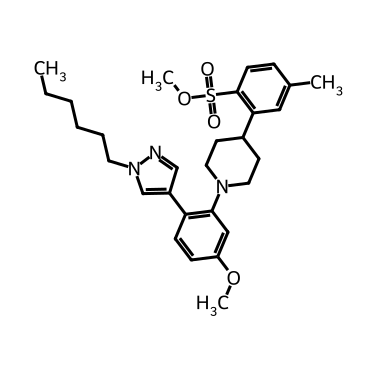 CCCCCCn1cc(-c2ccc(OC)cc2N2CCC(c3cc(C)ccc3S(=O)(=O)OC)CC2)cn1